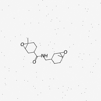 CC12CCC(CNC(=O)C3CCC4(C)OC4C3)CC1O2